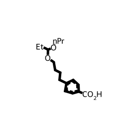 CCCOC(CC)OCCCCc1ccc(C(=O)O)cc1